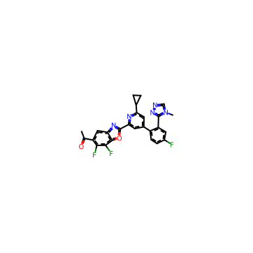 CC(=O)c1cc2nc(-c3cc(-c4ccc(F)cc4-c4nncn4C)cc(C4CC4)n3)oc2c(F)c1F